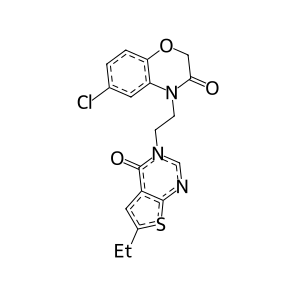 CCc1cc2c(=O)n(CCN3C(=O)COc4ccc(Cl)cc43)cnc2s1